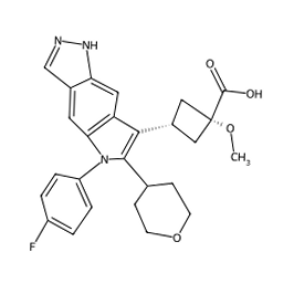 CO[C@]1(C(=O)O)C[C@H](c2c(C3CCOCC3)n(-c3ccc(F)cc3)c3cc4cn[nH]c4cc32)C1